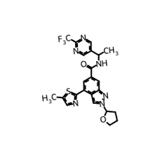 Cc1cnc(-c2cc(C(=O)NC(C)c3cnc(C(F)(F)F)nc3)cc3nn(C4CCCO4)cc23)s1